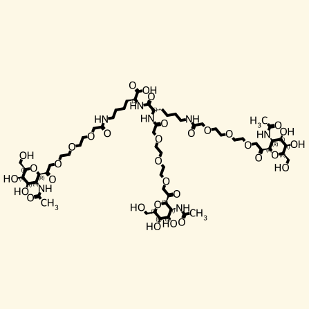 CC(=O)N[C@@H]1[C@@H](O)[C@@H](O)[C@@H](CO)O[C@H]1C(=O)COCCOCCOCC(=O)NCCCC[C@H](NC(=O)[C@H](CCCCNC(=O)COCCOCCOCC(=O)[C@@H]1O[C@H](CO)[C@H](O)[C@H](O)[C@H]1NC(C)=O)NC(=O)COCCOCCOCC(=O)[C@@H]1O[C@H](CO)[C@H](O)[C@H](O)[C@H]1NC(C)=O)C(=O)O